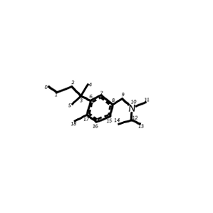 CCCC(C)(C)c1cc(CN(C)C(C)C)ccc1C